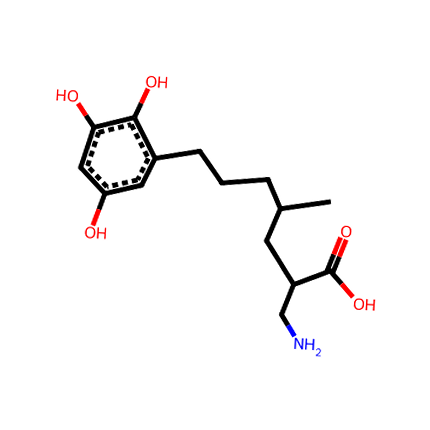 CC(CCCc1cc(O)cc(O)c1O)CC(CN)C(=O)O